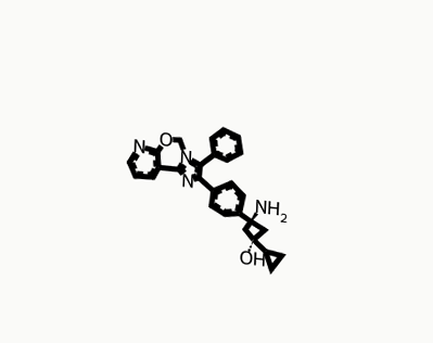 N[C@]1(c2ccc(-c3nc4n(c3-c3ccccc3)COc3ncccc3-4)cc2)C[C@](O)(C2CC2)C1